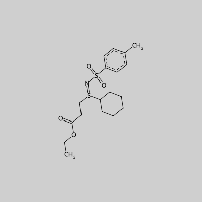 CCOC(=O)CCS(=NS(=O)(=O)c1ccc(C)cc1)C1CCCCC1